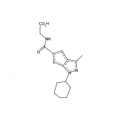 Cc1nn(C2CCCCC2)c2sc(C(=O)NCC(=O)O)cc12